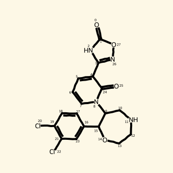 O=c1[nH]c(-c2cccn(C3CNCCOC3c3ccc(Cl)c(Cl)c3)c2=O)no1